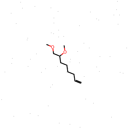 C=CCCCCC(COC)OC